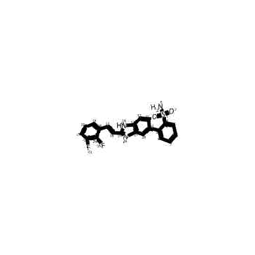 NS(=O)(=O)c1ccccc1-c1ccc2[nH]c(C=Cc3cccc(F)c3F)nc2c1